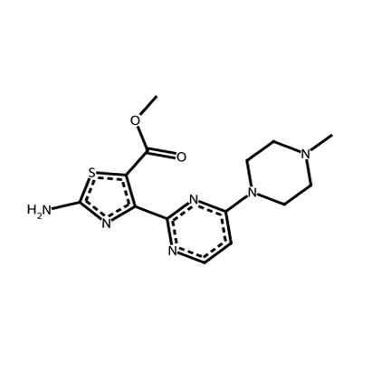 COC(=O)c1sc(N)nc1-c1nccc(N2CCN(C)CC2)n1